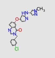 Cn1cc(Nc2cc(Oc3ccc4ncn(Cc5cccc(Cl)c5)c(=O)c4c3)ccn2)cn1